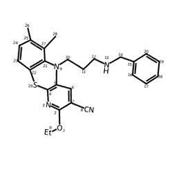 CCOc1nc2c(cc1C#N)N(CCCNCc1ccccc1)c1c(ccc(C)c1C)S2